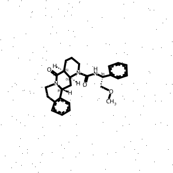 COC[C@H](NC(=O)N1CCC[C@@H]2C(=O)N3CCc4ccccc4[C@H]3C[C@@H]21)c1ccccc1